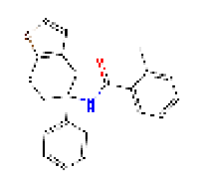 Cc1ccccc1C(=O)NC1(c2ccccc2)CCc2sccc2C1